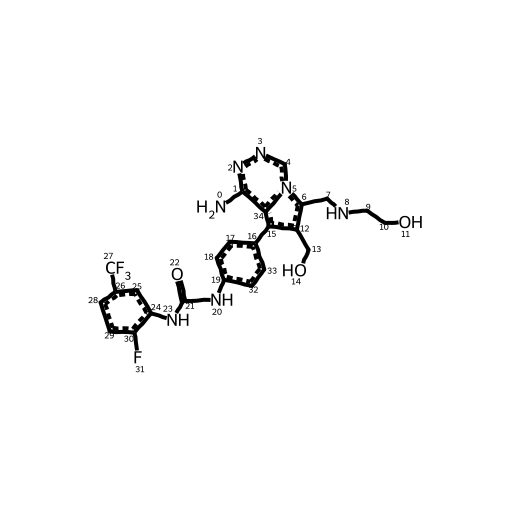 Nc1nncn2c(CNCCO)c(CO)c(-c3ccc(NC(=O)Nc4cc(C(F)(F)F)ccc4F)cc3)c12